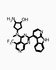 CN(c1nc(-c2ccnc3[nH]c4ccccc4c23)nc2cncc(C(F)(F)F)c12)C1CC(N)C(O)C1